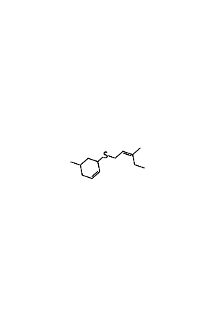 CC/C(C)=C\CSC1C=CCC(C)C1